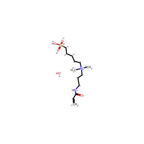 C=CC(=O)NCCC[N+](C)(C)CCCCCS(=O)(=O)O.[OH-]